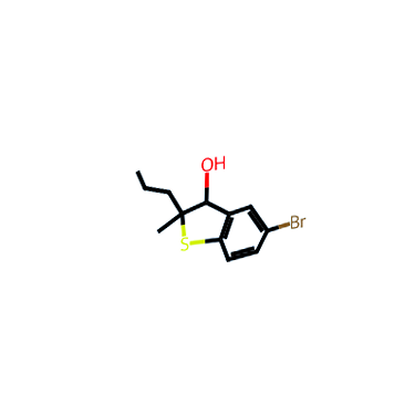 CCCC1(C)Sc2ccc(Br)cc2C1O